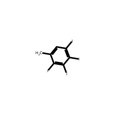 Cc1cc(I)c(I)c(I)c1I